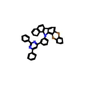 C1=Cc2ccc3c4ccc5c(c4n(-c4cccc(-c6cc(-c7ccccc7)nc(-c7ccccc7)n6)c4)c3c2CC1)Sc1ccccc1S5